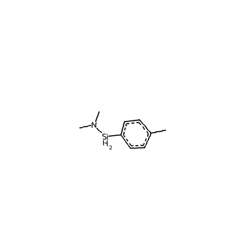 Cc1ccc([SiH2]N(C)C)cc1